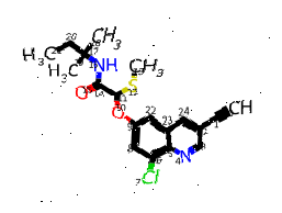 C#Cc1cnc2c(Cl)cc(OC(SC)C(=O)NC(C)(C)CC)cc2c1